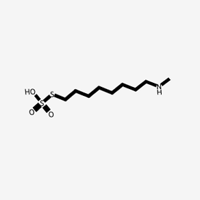 CNCCCCCCCCSS(=O)(=O)O